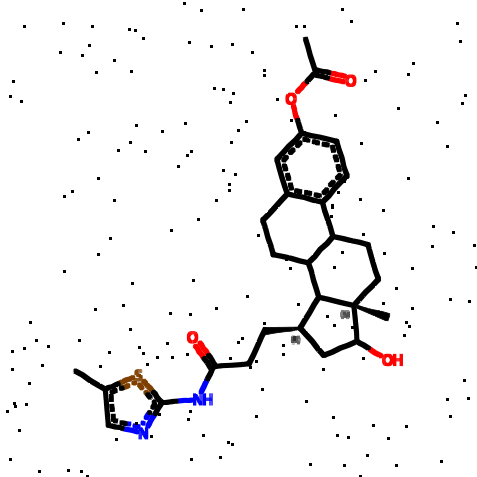 CC(=O)Oc1ccc2c(c1)CCC1C2CC[C@]2(C)C(O)C[C@@H](CCC(=O)Nc3ncc(C)s3)C12